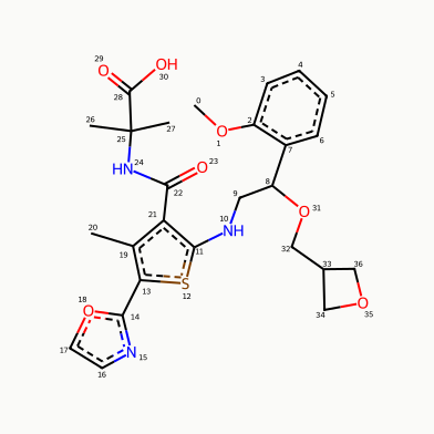 COc1ccccc1C(CNc1sc(-c2ncco2)c(C)c1C(=O)NC(C)(C)C(=O)O)OCC1COC1